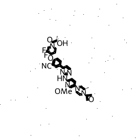 COc1nc(Nc2nccc(-c3ccc(OC4CCN(C(=O)[C@H](C)O)CC4(F)F)c(C#N)c3)n2)ccc1N1CCN(C2COC2)[C@@H](C)C1